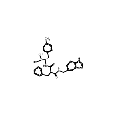 Cc1ccc(C[C@H](NC(=O)C(Cc2ccccc2)C(=O)NCc2ccc3[nH]ccc3c2)B(O)O)cc1